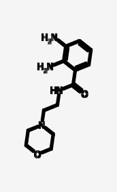 Nc1cccc(C(=O)NCCN2CCOCC2)c1N